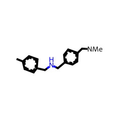 CNCc1ccc(CNCc2ccc(C)cc2)cc1